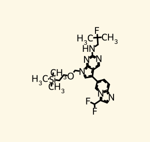 CC(C)(F)CNc1ncc2c(-c3ccc4ncc(C(F)F)n4c3)cn(COCC[Si](C)(C)C)c2n1